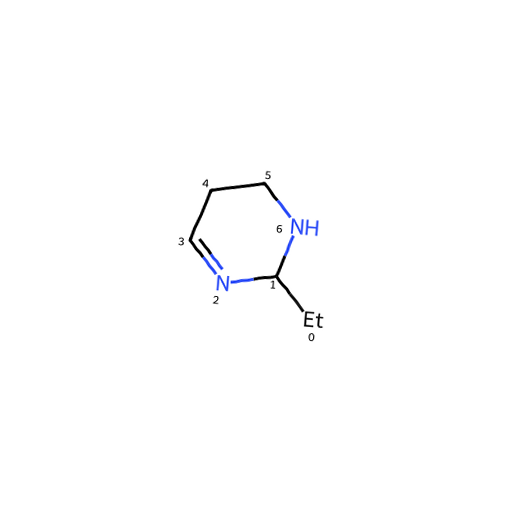 CCC1N=CCCN1